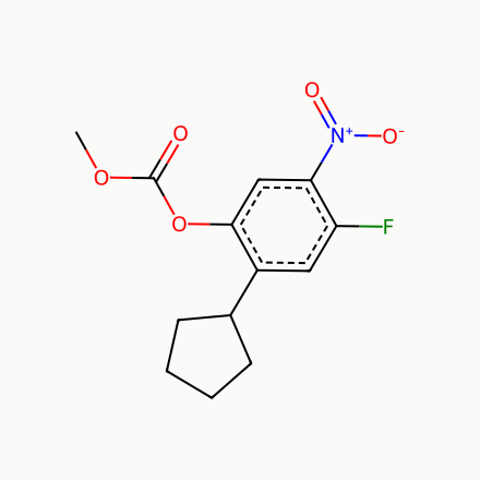 COC(=O)Oc1cc([N+](=O)[O-])c(F)cc1C1CCCC1